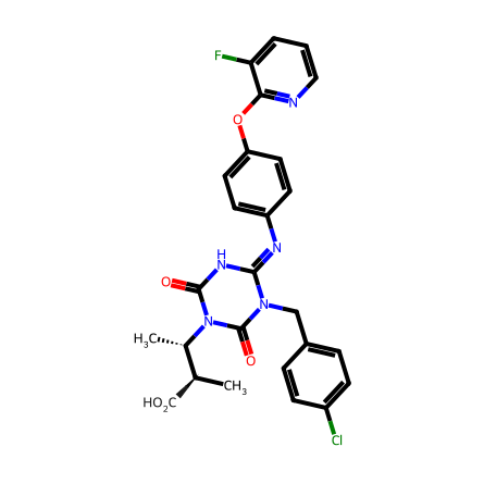 C[C@@H](C(=O)O)[C@H](C)n1c(=O)[nH]/c(=N\c2ccc(Oc3ncccc3F)cc2)n(Cc2ccc(Cl)cc2)c1=O